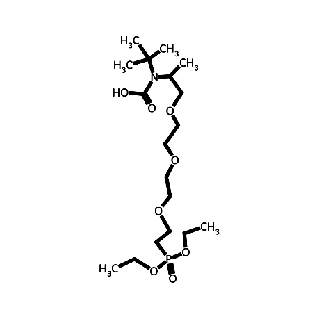 CCOP(=O)(CCOCCOCCOCC(C)N(C(=O)O)C(C)(C)C)OCC